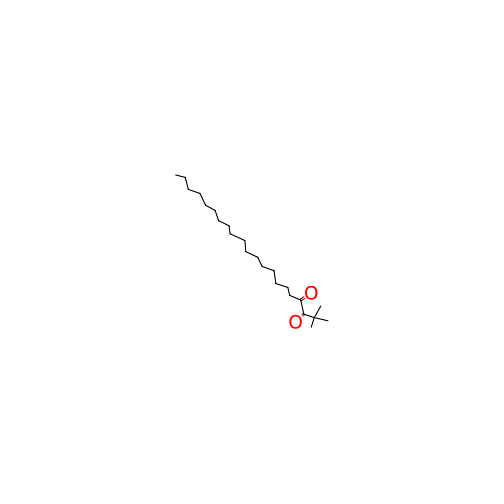 CCCCCCCCCCCCCCCCCC(=O)C(=O)C(C)(C)C